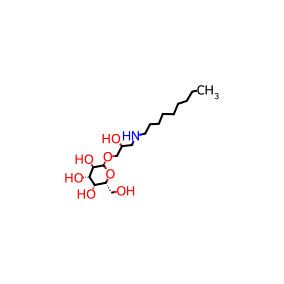 CCCCCCCCCNCC(O)CO[C@H]1O[C@H](CO)[C@H](O)[C@H](O)[C@H]1O